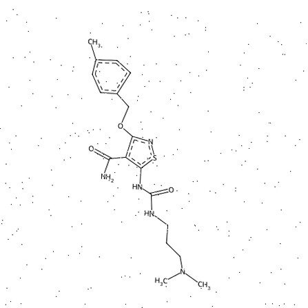 Cc1ccc(COc2nsc(NC(=O)NCCCN(C)C)c2C(N)=O)cc1